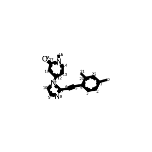 Cc1ccc(C#Cc2nccn2-c2ccn(C)c(=O)c2)c(C)c1